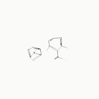 CC1(C)c2cccc1c2.Cc1cccc(O)c1C(=O)O